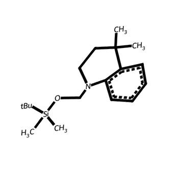 CC1(C)CCN(CO[Si](C)(C)C(C)(C)C)c2ccccc21